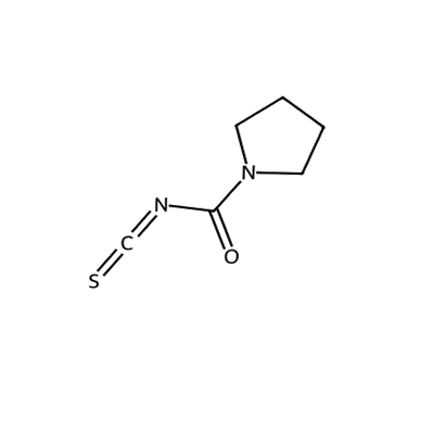 O=C(N=C=S)N1CCCC1